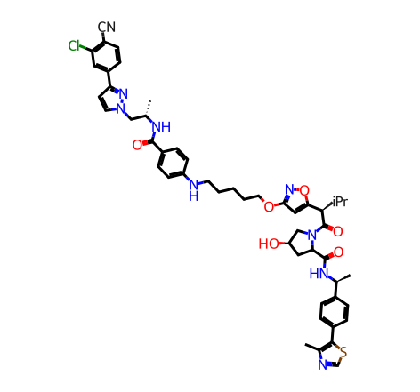 Cc1ncsc1-c1ccc([C@H](C)NC(=O)C2C[C@@H](O)CN2C(=O)[C@@H](c2cc(OCCCCCNc3ccc(C(=O)N[C@@H](C)Cn4ccc(-c5ccc(C#N)c(Cl)c5)n4)cc3)no2)C(C)C)cc1